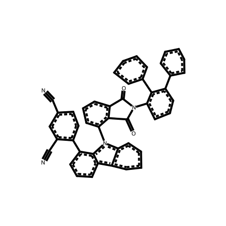 N#Cc1ccc(-c2cccc3c4ccccc4n(-c4cccc5c4C(=O)N(c4cccc(-c6ccccc6)c4-c4ccccc4)C5=O)c23)c(C#N)c1